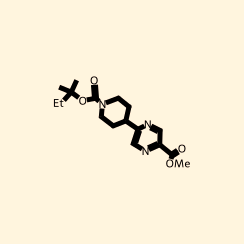 CCC(C)(C)OC(=O)N1CCC(c2cnc(C(=O)OC)cn2)CC1